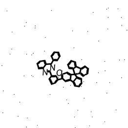 c1ccc(-c2nc(-c3cccc4c3oc3cc5c(cc34)-c3ccccc3C53c4ccccc4-c4ccccc43)nc3ccccc23)cc1